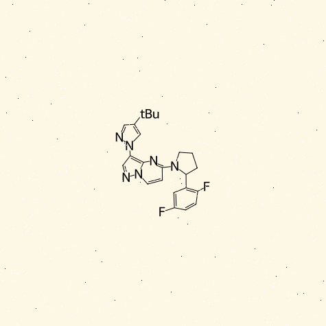 CC(C)(C)c1cnn(-c2cnn3ccc(N4CCCC4c4cc(F)ccc4F)nc23)c1